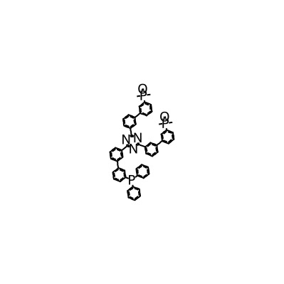 CP(C)(=O)c1cccc(-c2cccc(-c3nc(-c4cccc(-c5cccc(P(c6ccccc6)c6ccccc6)c5)c4)nc(-c4cccc(-c5cccc(P(C)(C)=O)c5)c4)n3)c2)c1